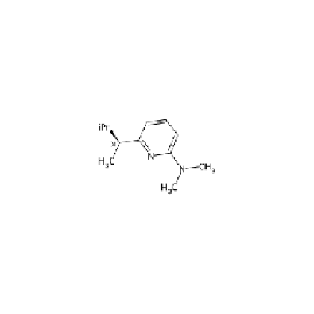 CC(C)[C@H](C)c1cccc(N(C)C)n1